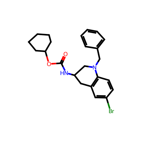 O=C(NC1Cc2cc(Br)ccc2N(Cc2ccccc2)C1)OC1CCCCC1